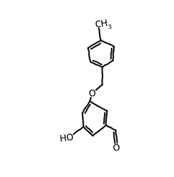 Cc1ccc(COc2cc(O)cc(C=O)c2)cc1